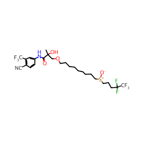 CC(O)(COCCCCCCCCC[S+]([O-])CCCC(F)(F)C(F)(F)F)C(=O)Nc1ccc(C#N)c(C(F)(F)F)c1